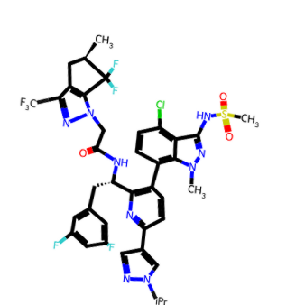 CC(C)n1cc(-c2ccc(-c3ccc(Cl)c4c(NS(C)(=O)=O)nn(C)c34)c([C@H](Cc3cc(F)cc(F)c3)NC(=O)Cn3nc(C(F)(F)F)c4c3C(F)(F)[C@H](C)C4)n2)cn1